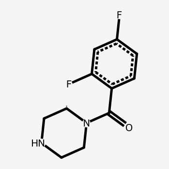 O=C(c1ccc(F)cc1F)N1[CH]CNCC1